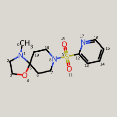 CN1CCOC12CCN(S(=O)(=O)c1ccccn1)CC2